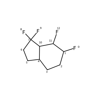 FC1CCC2CCC(F)(F)C2C1F